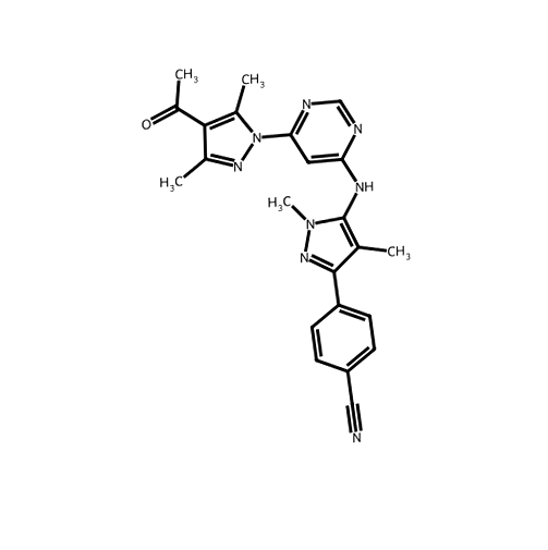 CC(=O)c1c(C)nn(-c2cc(Nc3c(C)c(-c4ccc(C#N)cc4)nn3C)ncn2)c1C